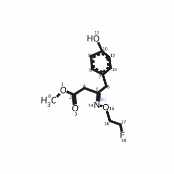 COC(=O)C/C(Cc1ccc(O)cc1)=N/OCCF